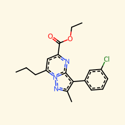 CCCc1cc(C(=O)OCC)nc2c(-c3cccc(Cl)c3)c(C)nn12